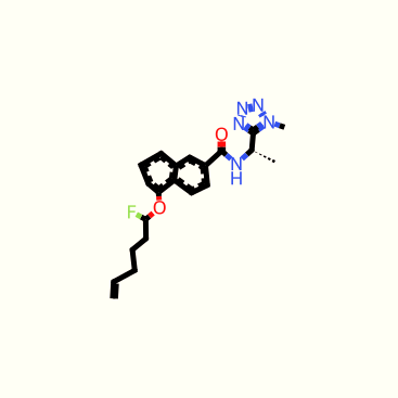 C=CCCCC(F)Oc1cccc2cc(C(=O)N[C@@H](C)c3nnnn3C)ccc12